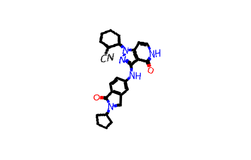 N#CC1CCCCC1n1nc(Nc2ccc3c(c2)CN(C2CCCC2)C3=O)c2c(=O)[nH]ccc21